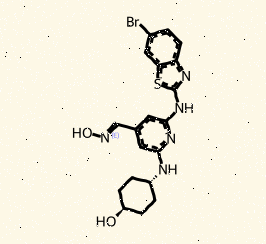 O/N=C/c1cc(Nc2nc3ccc(Br)cc3s2)nc(N[C@H]2CC[C@H](O)CC2)c1